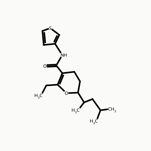 CCC1=C(C(=O)Nc2ccsc2)CCC(C(C)CC(C)C)O1